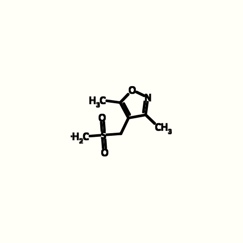 [CH2]S(=O)(=O)Cc1c(C)noc1C